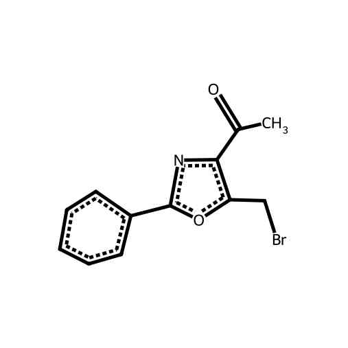 CC(=O)c1nc(-c2ccccc2)oc1CBr